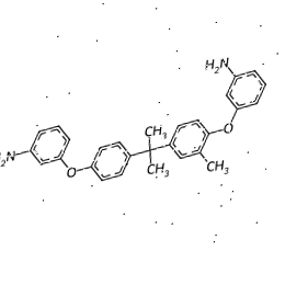 Cc1cc(C(C)(C)c2ccc(Oc3cccc(N)c3)cc2)ccc1Oc1cccc(N)c1